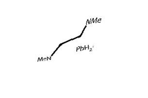 CNCCNC.[PbH2]